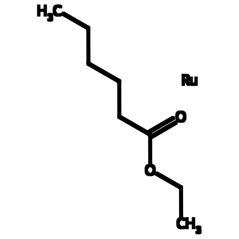 CCCCCC(=O)OCC.[Ru]